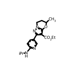 CCOC(=O)c1c(-c2ccc(NC(C)C)nc2)nn2c1OC(C)CC2